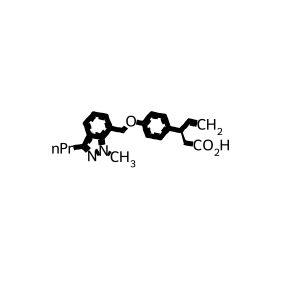 C=C[C@@H](CC(=O)O)c1ccc(OCc2cccc3c(CCC)nn(C)c23)cc1